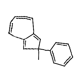 CC1(c2ccccc2)C=c2ccccc2=C1